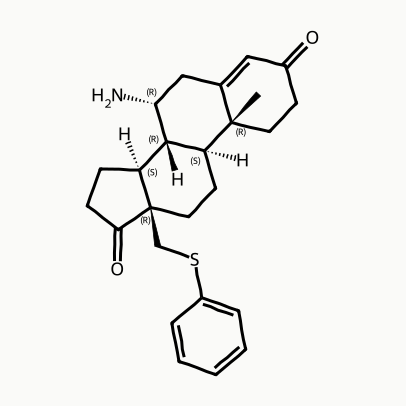 C[C@]12CCC(=O)C=C1C[C@@H](N)[C@H]1[C@@H]3CCC(=O)[C@@]3(CSc3ccccc3)CC[C@@H]12